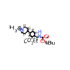 CCOC(=O)C(NC(=O)OC(C)(C)C)c1ccc(C2CCN(C)CC2)cc1